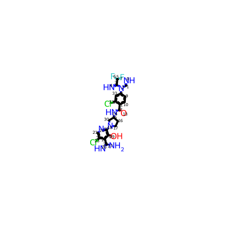 N=CN(C(=N)C(F)F)c1ccc(C(=O)NC2CCN(c3ncc(Cl)c(C(=N)N)c3O)C2)c(Cl)c1